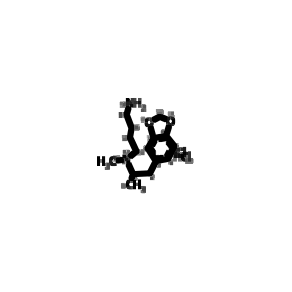 CC(Cc1ccc2c(c1)OCO2)N(C)CCCCN.Cl.Cl